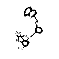 Cc1ccc(OCc2cccc(OCc3ccc4ccccc4n3)c2)c2c1NC(=S)C2(C)C